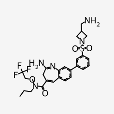 CCCN(OCC(F)(F)F)C(=O)C1=Cc2ccc(-c3cccc(S(=O)(=O)N4CC(CN)C4)c3)cc2N=C(N)C1